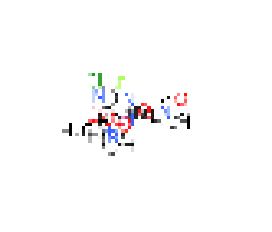 C[C@@H]1Oc2nc(Cl)c(F)c3nc(OC[C@@H]4CC[C@H]5COCCN54)nc(c23)N2C[C@H]3CC[C@@H]([C@@H]12)N3C(=O)OC(C)(C)C